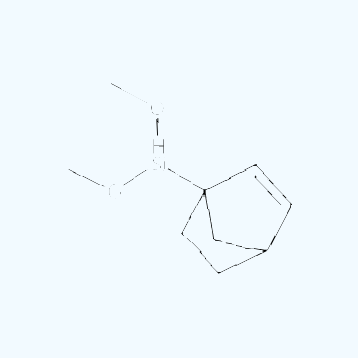 CO[SiH](OC)C12C=CC(CC1)C2